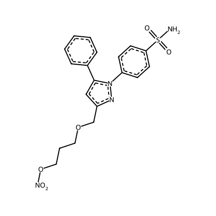 NS(=O)(=O)c1ccc(-n2nc(COCCCO[N+](=O)[O-])cc2-c2ccccc2)cc1